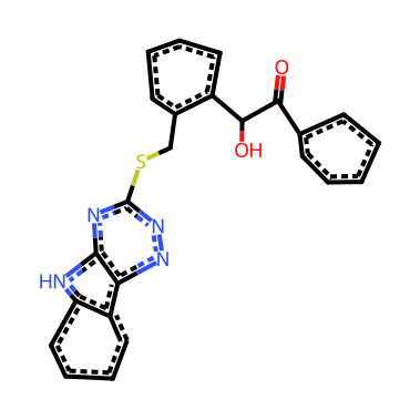 O=C(c1ccccc1)C(O)c1ccccc1CSc1nnc2c(n1)[nH]c1ccccc12